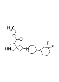 CCOC(=O)C1CNCC12CC(N1CCC(N3CCCC(F)(F)C3)CC1)C2